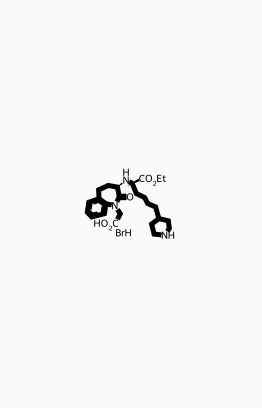 Br.CCOC(=O)[C@@H](CCCCC1CCNCC1)N[C@H]1CCc2ccccc2N(CC(=O)O)C1=O